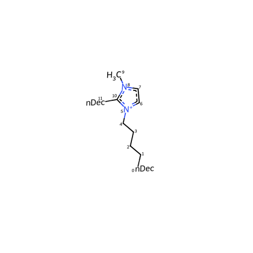 CCCCCCCCCCCCCC[n+]1ccn(C)c1CCCCCCCCCC